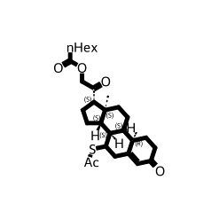 CCCCCCC(=O)OCC(=O)[C@H]1CC[C@H]2[C@@H]3C(SC(C)=O)CC4=CC(=O)CC[C@]4(C)[C@H]3CC[C@]12C